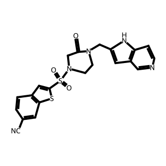 N#Cc1ccc2cc(S(=O)(=O)N3CCN(Cc4cc5cnccc5[nH]4)C(=O)C3)sc2c1